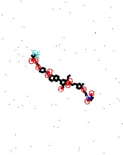 C=C(C(=O)OCCOC1CCC(C(=O)Oc2ccc3cc(-c4cc(C=O)c(OC(=O)CCc5ccc(OCCCN6C(=O)C=CC6=O)c(C)c5)c(CCC)c4)ccc3c2)CC1)C(F)(F)F